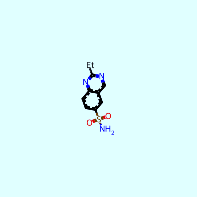 CCc1ncc2cc(S(N)(=O)=O)ccc2n1